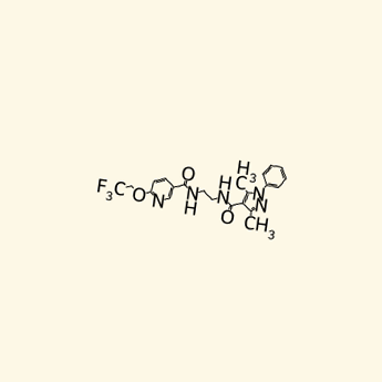 Cc1nn(-c2ccccc2)c(C)c1C(=O)NCCNC(=O)c1ccc(OCC(F)(F)F)nc1